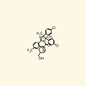 CCOc1cc(C(F)(F)F)ccc1C1=N[C@@](C)(c2ccc(Cl)cc2)C(C)(c2ccc(Cl)cc2)N1C(=O)N1CCC(CO)CC1